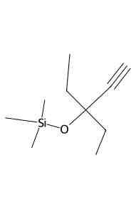 C#CC(CC)(CC)O[Si](C)(C)C